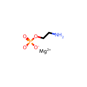 NCCOP(=O)([O-])[O-].[Mg+2]